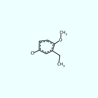 CCc1cc(Cl)ccc1OC